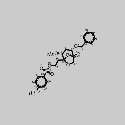 CO[C@@H]1C[C@H](OCc2ccccc2)[C@@H]2COC1(CCOS(=O)(=O)c1ccc(C)cc1)O2